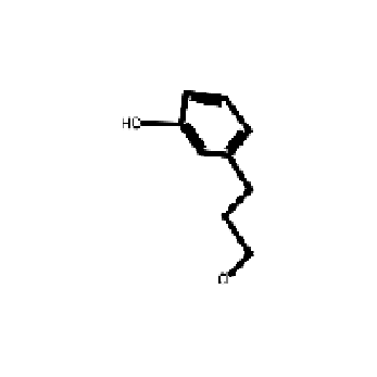 Oc1cccc(CC[C]Cl)c1